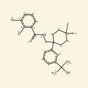 CC(C)(O)c1cccc(C2(CNC(=O)c3cccc(Cl)c3Cl)CCC(F)(F)CC2)n1